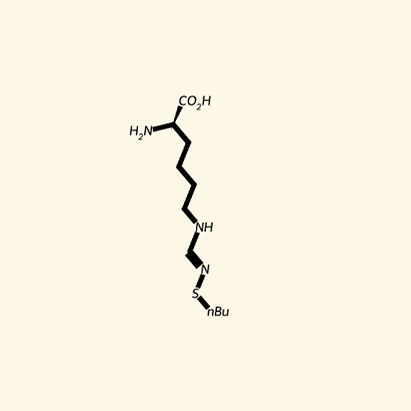 CCCCSN=CNCCCC[C@@H](N)C(=O)O